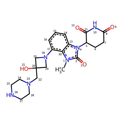 Cn1c(=O)n(C2CCC(=O)NC2=O)c2cccc(N3CC(O)(CN4CCNCC4)C3)c21